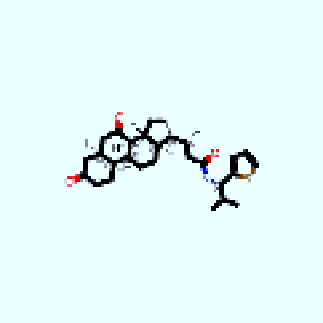 CC(C)[C@H](NC(=O)C[C@@H](C)[C@H]1CC[C@H]2[C@@H]3C(=O)C[C@@H]4CC(=O)CC[C@]4(C)[C@H]3CC[C@]12C)c1cccs1